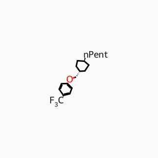 CCCCC[C@H]1CC[C@H](COc2ccc(C(F)(F)F)cc2)CC1